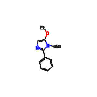 CCCCn1c(OCC)cnc1-c1ccccc1